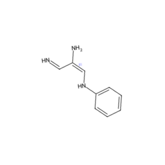 N=C/C(N)=C\Nc1ccccc1